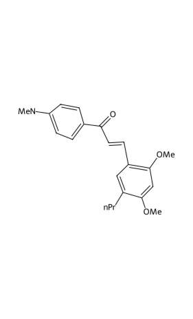 CCCc1cc(/C=C/C(=O)c2ccc(NC)cc2)c(OC)cc1OC